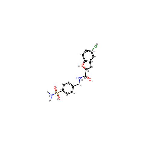 CN(C)S(=O)(=O)c1ccc(CNC(=O)c2cc3cc(Cl)ccc3o2)cc1